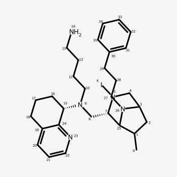 CC1CC2CN(I)[C@@H](CN(CCCCN)[C@H]3CCCc4cccnc43)C1N2CCCc1ccccc1